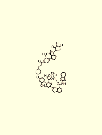 Cc1cc(O[C@H]2CC[C@H](CCC(=O)N3CCN(c4cccc5c(C6CCC(=O)NC6=O)nn(C)c45)CC3)CC2)ccc1-c1ccc(N2CCc3cccc(C(=O)Nc4nc5ccccc5s4)c3C2)nc1C(=O)OC(C)(C)C